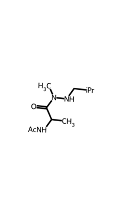 CC(=O)NC(C)C(=O)N(C)NCC(C)C